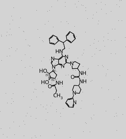 CCC(=O)N[C@H]1C[C@@H](n2cnc3c(NCC(c4ccccc4)c4ccccc4)nc(N4CCC(NC(=O)NC5CCN(c6ccccn6)CC5)C4)nc32)[C@H](O)[C@@H]1O